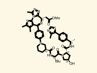 COC(=O)C[C@@H]1N=C(c2ccc(N3CCC[C@H](C(=O)N[C@H](C(=O)N4C[C@H](O)C[C@H]4C(=O)N[C@@H](C)c4ccc(-c5scnc5C)cc4)C(C)(C)C)C3)cc2)c2c(sc(C)c2C)-n2c(C)nnc21